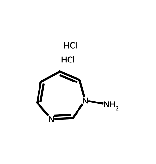 Cl.Cl.NN1C=CC=CN=C1